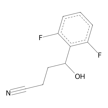 N#CCCC(O)c1c(F)cccc1F